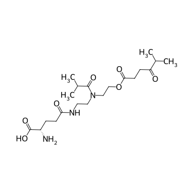 CC(C)C(=O)CCC(=O)OCCN(CCNC(=O)CC[C@H](N)C(=O)O)C(=O)C(C)C